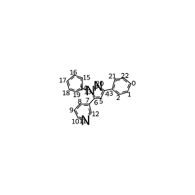 c1ccc(-c2cc(-c3cccnc3)n(-c3ccccc3)n2)cc1